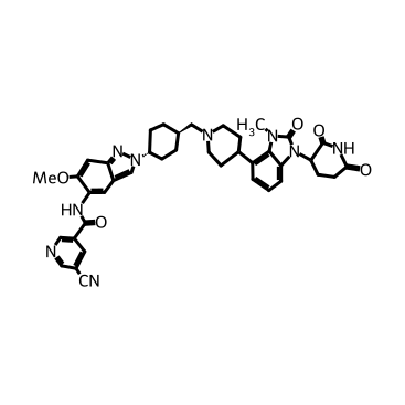 COc1cc2nn([C@H]3CC[C@H](CN4CCC(c5cccc6c5n(C)c(=O)n6C5CCC(=O)NC5=O)CC4)CC3)cc2cc1NC(=O)c1cncc(C#N)c1